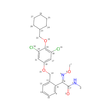 CNC(=O)C(=NOC)c1ccccc1COc1cc(Cl)c(OCC2CCCCC2)c(Cl)c1